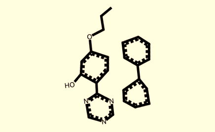 CCCOc1ccc(-c2ncncn2)c(O)c1.c1ccc(-c2ccccc2)cc1